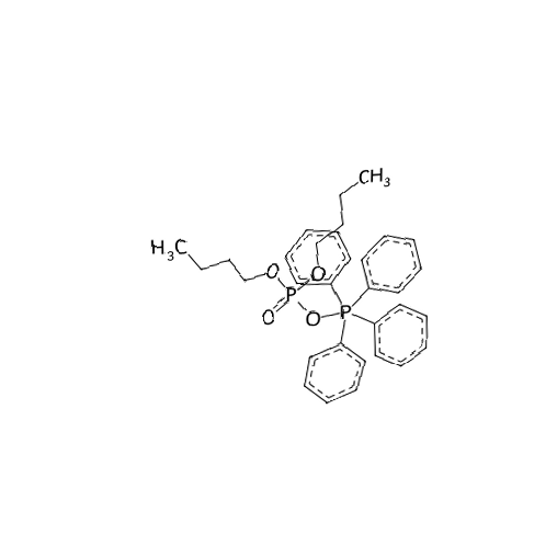 CCCCOP(=O)(OCCCC)OP(c1ccccc1)(c1ccccc1)(c1ccccc1)c1ccccc1